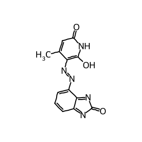 Cc1cc(=O)[nH]c(O)c1N=Nc1cccc2c1=NC(=O)N=2